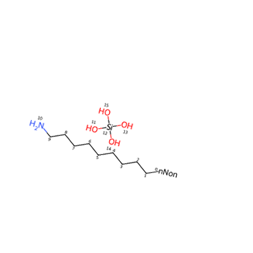 CCCCCCCCCCCCCCCCCCN.O[Si](O)(O)O